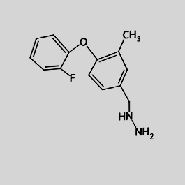 Cc1cc(CNN)ccc1Oc1ccccc1F